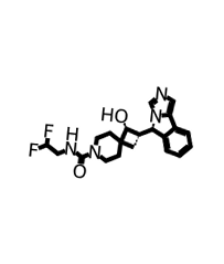 O=C(NCC(F)F)N1CCC2(CC1)C[C@@H]([C@H]1c3ccccc3-c3cncn31)[C@H]2O